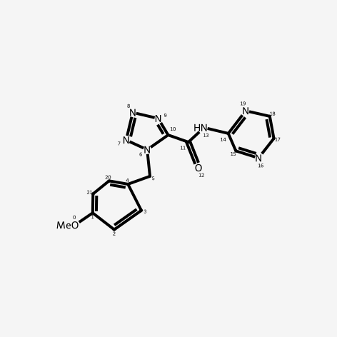 COc1ccc(Cn2nnnc2C(=O)Nc2cnccn2)cc1